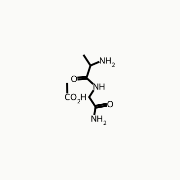 CC(=O)O.CC(N)C(=O)NCC(N)=O